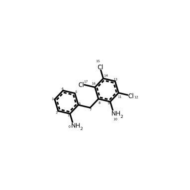 Nc1ccccc1Cc1c(N)c(Cl)cc(Cl)c1Cl